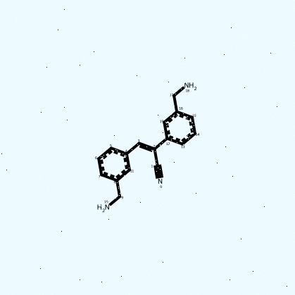 N#CC(=Cc1cccc(CN)c1)c1cccc(CN)c1